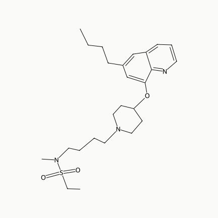 CCCCc1cc(OC2CCN(CCCCN(C)S(=O)(=O)CC)CC2)c2ncccc2c1